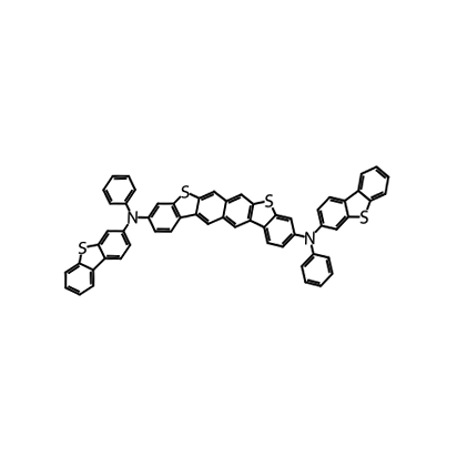 c1ccc(N(c2ccc3c(c2)sc2ccccc23)c2ccc3c(c2)sc2cc4cc5sc6cc(N(c7ccccc7)c7ccc8c(c7)sc7ccccc78)ccc6c5cc4cc23)cc1